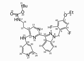 CCOc1cc(F)c(Cn2nc(-c3ncc(CCNC(=O)OC(C)(C)C)c(Nc4ccnc(C)c4)n3)c3ccccc32)c(F)c1